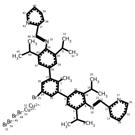 Cc1c(-c2cc(C(C)C)c(N=Cc3ccccn3)c(C(C)C)c2)cc(Br)cc1-c1cc(C(C)C)c(N=Cc2ccccn2)c(C(C)C)c1.[Br-].[Br-].[Br-].[Br-].[Cu+2].[Cu+2]